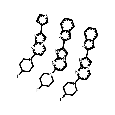 FC1CCN(c2ccn3cc(-c4cc5ccccc5o4)nc3n2)CC1.FC1CCN(c2ccn3cc(-c4cc5ccccc5s4)nc3n2)CC1.FC1CCN(c2ccn3cc(-c4ccsc4)nc3n2)CC1